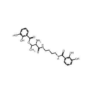 CC(OC(=O)c1cccc(O)c1O)C(N)C(=O)NCCCCNC(=O)c1cccc(O)c1O